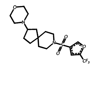 O=S(=O)(c1coc(C(F)(F)F)c1)N1CCC2(CCC(N3CCOCC3)C2)CC1